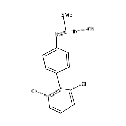 CSC(=Nc1ccc(-c2c(Cl)cccc2Cl)cc1)NC#N